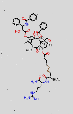 CC(=O)N[C@H](CSSCCCC(=O)O[C@H]1C[C@H]2OC[C@@]2(OC(C)=O)[C@H]2[C@H](OC(=O)c3ccccc3)[C@]3(O)C[C@H](OC(=O)[C@H](O)C(NC(=O)c4ccccc4)c4ccccc4)C(C)=C([C@@H](OC(C)=O)C(=O)[C@]12C)C3(C)C)C(=O)N[C@H](CCCNC(=N)N)C(N)=O